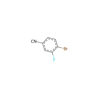 [C-]#[N+]c1ccc(Br)c(F)c1